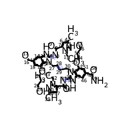 CCn1nc(C)cc1C(=O)/N=c1\[nH]c2cc(C=O)cc(OCCCO)c2n1C/C=C/Cn1/c(=N/C(=O)c2cc(C)nn2CC)[nH]c2cc(C(N)=O)cc(OCCCO)c21